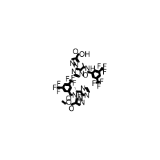 CCOC(=O)c1cnn(-c2nccnc2[C@@H](C)NC(=O)c2cc(C(F)(F)F)cc(C(F)(F)F)c2)c1.C[C@@H](NC(=O)c1cc(C(F)(F)F)cc(C(F)(F)F)c1)c1nccnc1-n1cc(C(=O)O)cn1